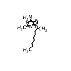 CCCCCCCC(C)n1cnc2c(N)nc(C)nc21